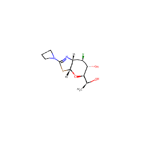 C[C@H](O)[C@H]1O[C@@H]2SC(N3CCC3)=N[C@@H]2[C@@H](F)[C@@H]1O